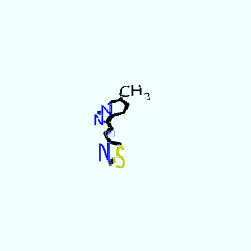 CC1CCc2c(/C=C/c3cscn3)ncn2C1